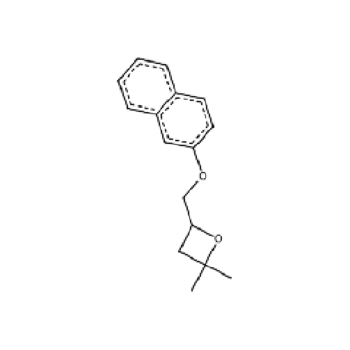 CC1(C)CC(COc2ccc3ccccc3c2)O1